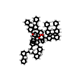 c1ccc(-c2nc(-c3cccc4c3sc3ccccc34)nc(-c3cccc4oc5ccc(-c6ccc7c(c6)C6(c8ccccc8Oc8ccc(-c9ccc%10c(c9)c9ccccc9n%10-c9ccccc9-c9ccc(-c%10nc(-c%11ccc(-c%12ccc%13c(c%12)C%12(c%14ccccc%14-%13)c%13cccc(-c%14ccccc%14)c%13Oc%13c(-c%14ccccc%14)cccc%13%12)cc%11)c%11ccccc%11n%10)cc9)cc86)c6ccccc6-7)cc5c34)n2)cc1